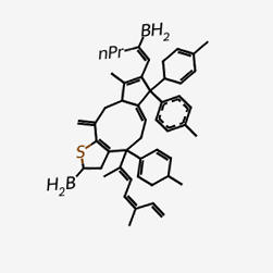 B/C(=C/C1=C(C)C2CC(=C)C3=C(CC(B)S3)C(C3=CCC(C)C=C3)(/C(C)=C/C=C(/C)C=C)C/C=C\2C1(c1ccc(C)cc1)C1C=CC(C)=CC1)CCC